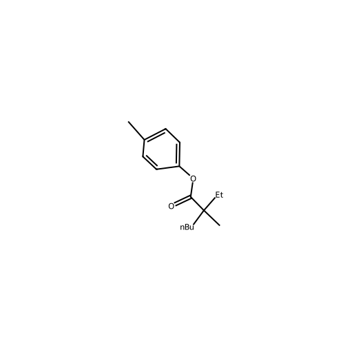 CCCCC(C)(CC)C(=O)Oc1ccc(C)cc1